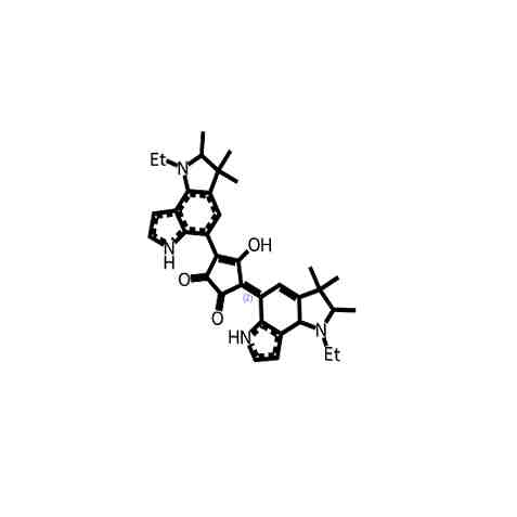 CCN1c2c(cc(C3=C(O)/C(=C4\C=C5C(c6cc[nH]c64)N(CC)C(C)C5(C)C)C(=O)C3=O)c3[nH]ccc23)C(C)(C)C1C